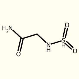 NC(=O)CN[SH](=O)=O